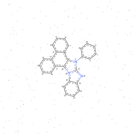 c1ccc(-n2c3c4ccccc4c4ccccc4c3n3c4ccccc4nc23)cc1